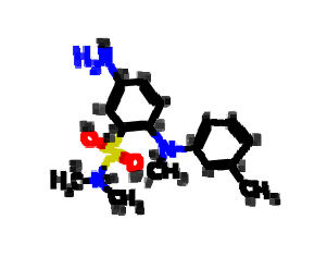 Cc1cccc(N(C)c2ccc(N)cc2S(=O)(=O)N(C)C)c1